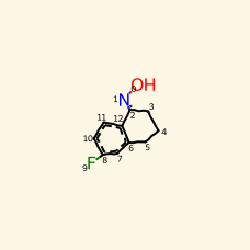 O/N=C1\CCCc2cc(F)ccc21